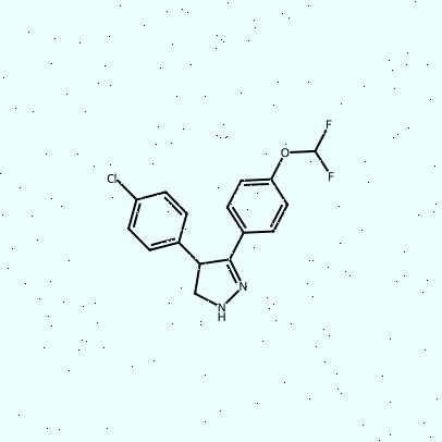 FC(F)Oc1ccc(C2=NNCC2c2ccc(Cl)cc2)cc1